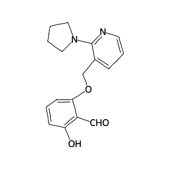 O=Cc1c(O)cccc1OCc1cccnc1N1CCCC1